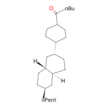 CCCCC[C@H]1CC[C@@H]2C[C@H](C3CCC(C(=O)CCCC)CC3)CC[C@H]2C1